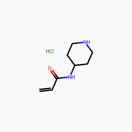 C=CC(=O)NC1CCNCC1.Cl